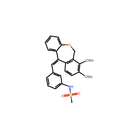 COc1ccc2c(c1OC)CSc1ccccc1/C2=C/c1cccc(NS(C)(=O)=O)c1